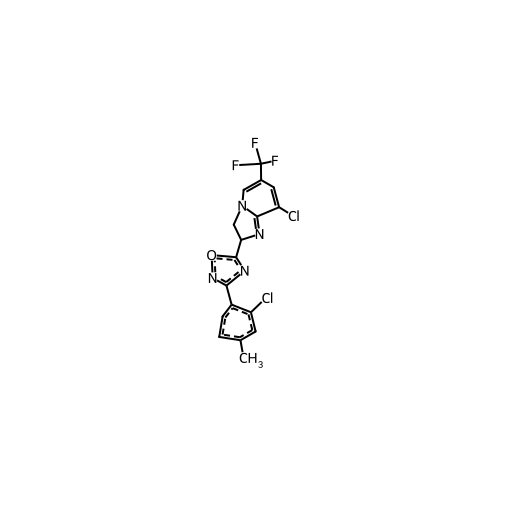 Cc1ccc(-c2noc(C3CN4C=C(C(F)(F)F)C=C(Cl)C4=N3)n2)c(Cl)c1